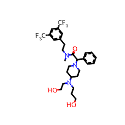 CN(CCc1cc(C(F)(F)F)cc(C(F)(F)F)c1)C(=O)C(c1ccccc1)N1CCC(N(CCO)CCCO)CC1